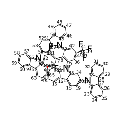 Fc1cccc(F)c1-c1c(-n2c3ccccc3c3ccc(-n4c5ccccc5c5ccccc54)cc32)cc(C(F)(F)F)cc1-n1c2ccccc2c2ccc(-n3c4ccccc4c4ccccc43)cc21